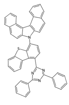 c1ccc(-c2nc(-c3ccccc3)nc(-c3ccc(-n4c5ccc6ccccc6c5c5c6ccccc6ccc54)c4sc5ccccc5c34)n2)cc1